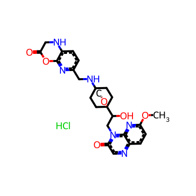 COc1ccc2ncc(=O)n(CC(O)C34CCC(NCc5ccc6c(n5)OC(=O)CN6)(CC3)CO4)c2n1.Cl